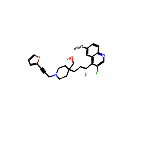 COc1ccc2ncc(F)c([C@H](F)CCC3(CO)CCN(CC#Cc4cccs4)CC3)c2c1